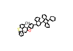 C=Cc1oc2cc(-c3ccc(-c4c5ccccc5c(C5=CC=CCC5)c5ccccc45)c4ccccc34)ccc2c1-c1c(C)ccc2sc3ccccc3c12